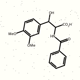 COc1ccc(C(O)C(NC(=O)c2ccccc2)C(=O)O)cc1OC